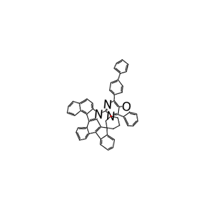 c1ccc(-c2ccc(-c3nc(-n4c5ccc6ccccc6c5c5c6ccccc6c6c(c54)C4(CCCCC4)c4ccccc4-6)nc4c3oc3ccccc34)cc2)cc1